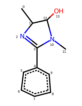 CC1N=C(c2ccccc2)N(C)C1O